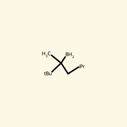 BC(C)(CC(C)C)C(C)(C)C